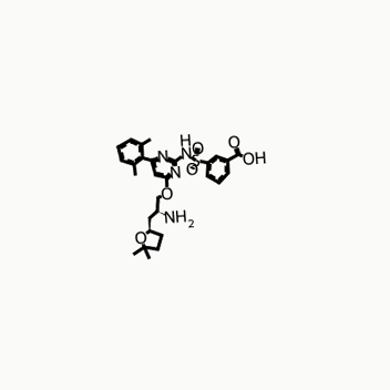 Cc1cccc(C)c1-c1cc(OC[C@H](N)C[C@H]2CCC(C)(C)O2)nc(NS(=O)(=O)c2cccc(C(=O)O)c2)n1